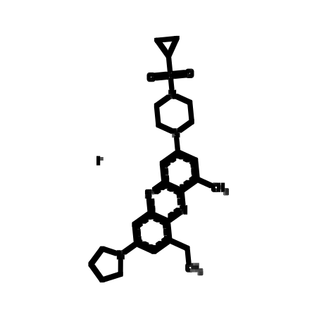 CCc1cc(N2CCCC2)cc2[s+]c3cc(N4CCN(S(=O)(=O)C5CC5)CC4)cc(C)c3nc12.[I-]